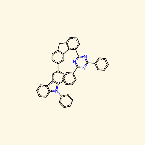 c1ccc(-c2nc(-c3ccccc3)nc(-c3cccc4c3-c3cc(-c5ccc6c(c5)c5ccccc5n6-c5ccccc5)ccc3C4)n2)cc1